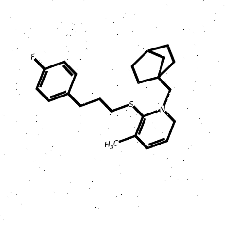 CC1=C(SCCCc2ccc(F)cc2)N(CC23CCC(CC2)C3)CC=C1